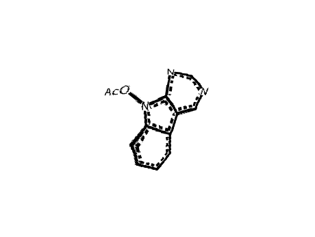 CC(=O)On1c2ccccc2c2cncnc21